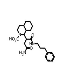 NC(=O)CC(C(=O)NCCCc1ccccc1)C1C2CCCCC2CCN1C(=O)O